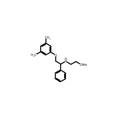 COCCNC(COc1cc(C)cc(C)c1)c1ccccc1